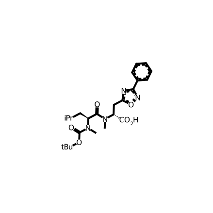 CC(C)C[C@@H](C(=O)N(C)[C@H](Cc1nc(-c2ccccc2)no1)C(=O)O)N(C)C(=O)OC(C)(C)C